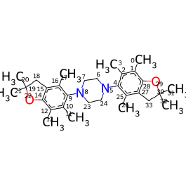 Cc1c(C)c(N2CCN(c3c(C)c(C)c4c(c3C)CC(C)(C)O4)CC2)c(C)c2c1OC(C)(C)C2